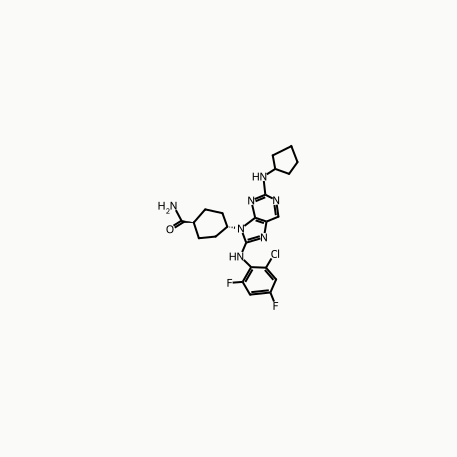 NC(=O)[C@H]1CC[C@H](n2c(Nc3c(F)cc(F)cc3Cl)nc3cnc(NC4CCCC4)nc32)CC1